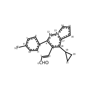 O=CC=Cc1c(-c2ccc(F)cc2)nn2cccc2c1C1CC1